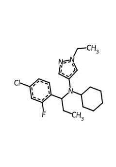 CCC(c1ccc(Cl)cc1F)N(c1cnn(CC)c1)C1CCCCC1